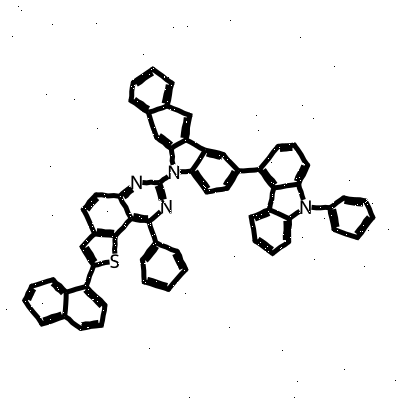 c1ccc(-c2nc(-n3c4ccc(-c5cccc6c5c5ccccc5n6-c5ccccc5)cc4c4cc5ccccc5cc43)nc3ccc4cc(-c5cccc6ccccc56)sc4c23)cc1